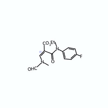 CCOC(=O)/C(=C/N(C)C=O)C(=O)N(C)c1ccc(F)cc1